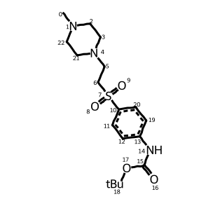 CN1CCN(CCS(=O)(=O)c2ccc(NC(=O)OC(C)(C)C)cc2)CC1